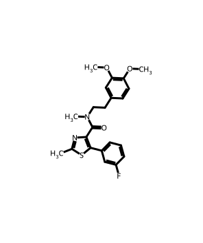 COc1ccc(CCN(C)C(=O)c2nc(C)sc2-c2cccc(F)c2)cc1OC